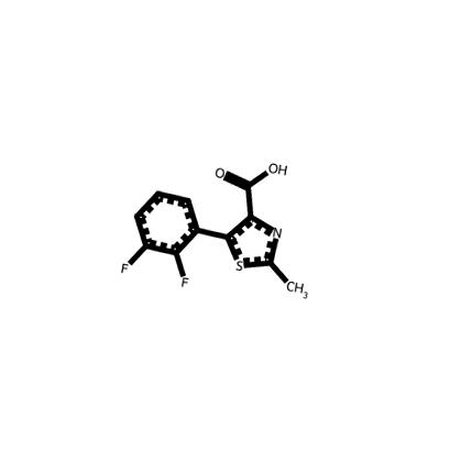 Cc1nc(C(=O)O)c(-c2cccc(F)c2F)s1